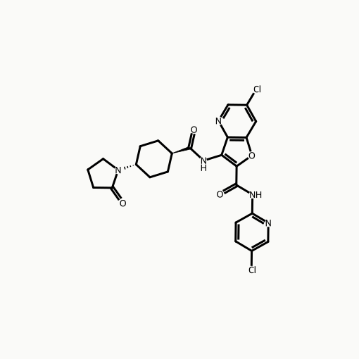 O=C(Nc1ccc(Cl)cn1)c1oc2cc(Cl)cnc2c1NC(=O)[C@H]1CC[C@H](N2CCCC2=O)CC1